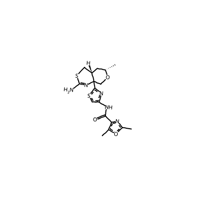 Cc1nc(C(=O)Nc2csc(C34CO[C@@H](C)C[C@H]3CSC(N)=N4)n2)c(C)o1